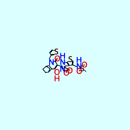 CS(=O)(=O)NCc1csc2c1S(=O)(=O)N=C(C1=C(O)C3C4CCC(C4)C3N(Cc3ccsc3)C1=O)N2